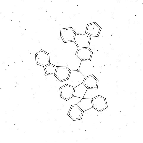 c1ccc2c(c1)-c1ccccc1C21c2ccccc2-c2c(N(c3ccc4oc5ccccc5c4c3)c3ccc4c5ccccc5c5ccccc5c4c3)cccc21